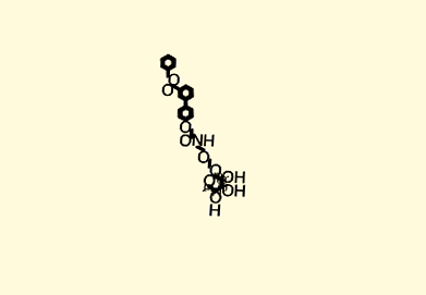 C[C@@H]1O[C@@H](OCCOCCNC(=O)COc2ccc(-c3cccc(C(=O)OCc4ccccc4)c3)cc2)[C@H](O)[C@H](O)[C@H]1O